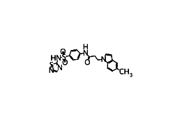 Cc1ccc2c(ccn2CCC(=O)Nc2ccc(S(=O)(=O)Nc3ncns3)cc2)c1